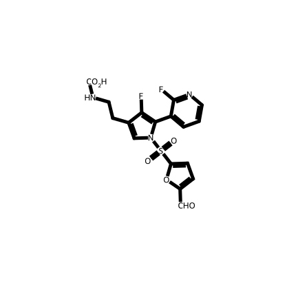 O=Cc1ccc(S(=O)(=O)n2cc(CCNC(=O)O)c(F)c2-c2cccnc2F)o1